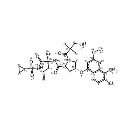 Bc1c(CC)ccc2c(O[C@@H]3C[C@@H](C(=O)N[C@](CC)(CC=C)C(=O)NS(=O)(=O)C4CC4)N(C(=O)C(C)(C)CO)C3)cc(OCC)nc12